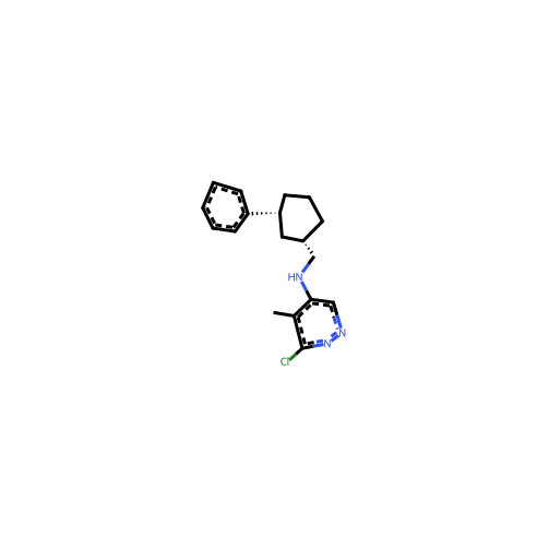 Cc1c(NC[C@H]2CCC[C@@H](c3ccccc3)C2)cnnc1Cl